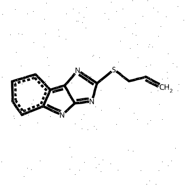 C=CCSC1=NC2=c3ccccc3=NC2=N1